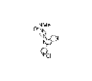 CNC(=O)N1CCN(c2nc(-c3ccnc(Cl)c3)cc3cnccc23)CC1